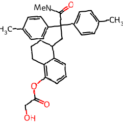 CNC(=O)C(CC1CCCc2c(OC(=O)CO)cccc21)(c1ccc(C)cc1)c1ccc(C)cc1